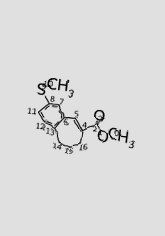 COC(=O)C1=Cc2cc(SC)ccc2CCC1